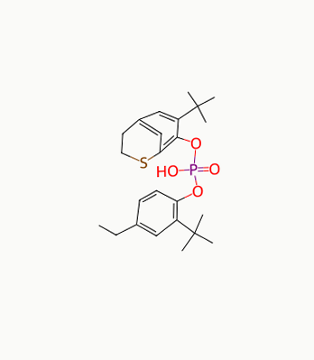 CCc1ccc(OP(=O)(O)Oc2c3cc(cc2C(C)(C)C)CCS3)c(C(C)(C)C)c1